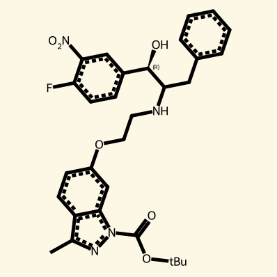 Cc1nn(C(=O)OC(C)(C)C)c2cc(OCCNC(Cc3ccccc3)[C@H](O)c3ccc(F)c([N+](=O)[O-])c3)ccc12